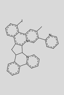 Cc1cc2c3c(I)cccc3c3c([n+]2cc1-c1ccccn1)C1C(C3)c2ccccc2-c2cccc[n+]21